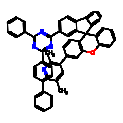 Cc1cnc(C)c(-c2ccc3c(c2)Oc2ccccc2C32c3ccccc3-c3ccc(-c4nc(-c5ccccc5)nc(-c5ccc(-c6ccccc6)cc5)n4)cc32)c1